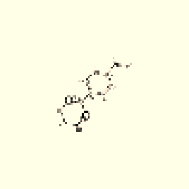 C=Cc1ccc(C2OCCCO2)cc1